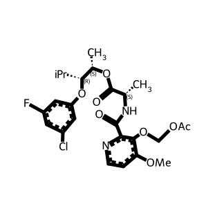 COc1ccnc(C(=O)N[C@@H](C)C(=O)O[C@@H](C)[C@H](Oc2cc(F)cc(Cl)c2)C(C)C)c1OCOC(C)=O